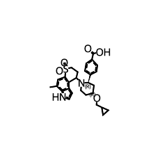 Cc1cc2c(c3cc[nH]c13)C(N1CC[C@@H](OCC3CC3)C[C@@H]1c1ccc(C(=O)O)cc1)CCS2(=O)=O